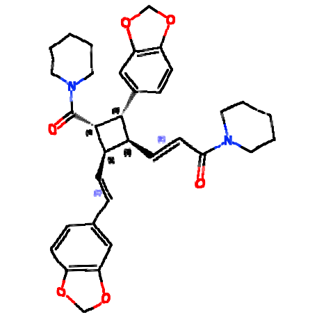 O=C(/C=C/[C@H]1[C@@H](/C=C/c2ccc3c(c2)OCO3)[C@H](C(=O)N2CCCCC2)[C@@H]1c1ccc2c(c1)OCO2)N1CCCCC1